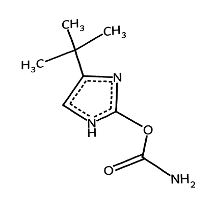 CC(C)(C)c1c[nH]c(OC(N)=O)n1